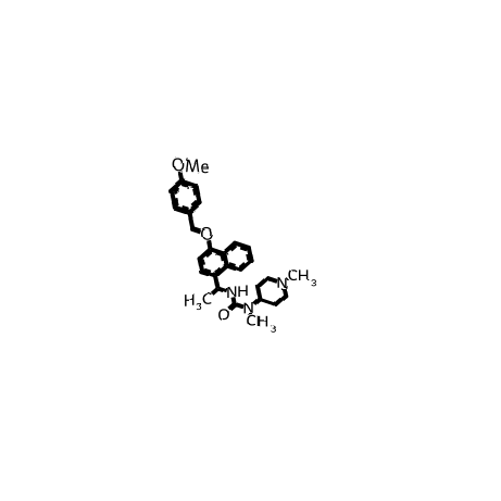 COc1ccc(COc2ccc(C(C)NC(=O)N(C)C3CCN(C)CC3)c3ccccc23)cc1